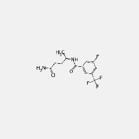 CC(CCC(N)=O)NC(=O)c1cc(F)cc(C(F)(F)F)c1